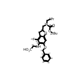 CC(C)CN(CC1Cc2c(cc(OCc3ccccc3)c(NCC(=O)O)c2F)O1)C(=O)OC(C)(C)C